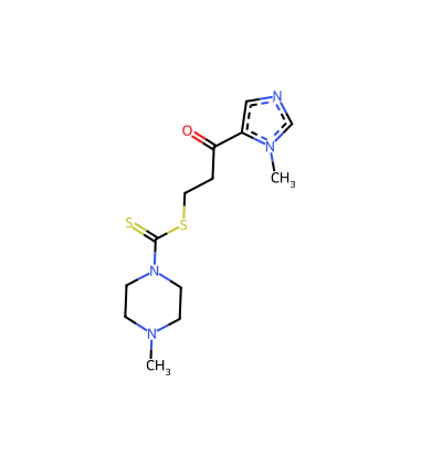 CN1CCN(C(=S)SCCC(=O)c2cncn2C)CC1